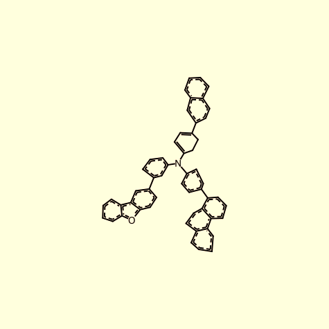 C1=C(c2ccc3ccccc3c2)CCC(N(c2ccc(-c3cccc4c3ccc3ccccc34)cc2)c2cccc(-c3ccc4oc5ccccc5c4c3)c2)=C1